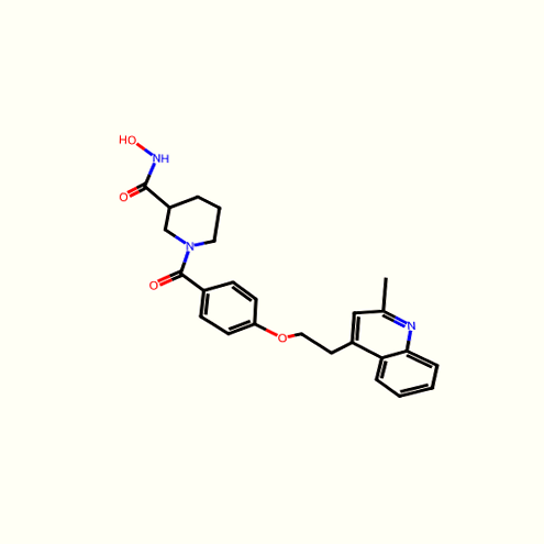 Cc1cc(CCOc2ccc(C(=O)N3CCCC(C(=O)NO)C3)cc2)c2ccccc2n1